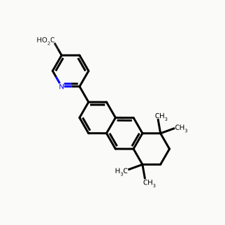 CC1(C)CCC(C)(C)c2cc3cc(-c4ccc(C(=O)O)cn4)ccc3cc21